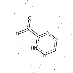 O=S(=O)=c1nccn[nH]1